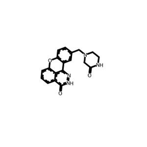 O=C1CN(Cc2ccc3c(c2)-c2n[nH]c(=O)c4cccc(c24)O3)CCN1